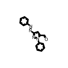 O=Cc1cc(N=Nc2ccccc2)nn1-c1ccccc1